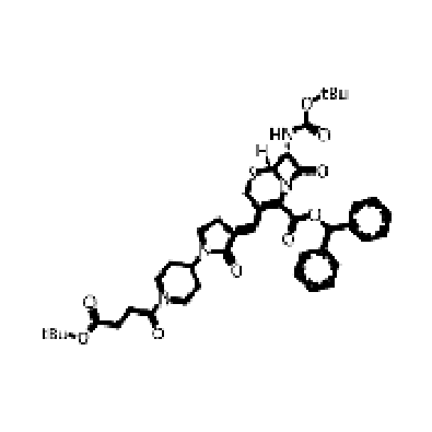 CC(C)(C)OC(=O)CCC(=O)N1CCC(N2CC/C(=C\C3=C(C(=O)OC(c4ccccc4)c4ccccc4)N4C(=O)[C@@H](NC(=O)OC(C)(C)C)[C@H]4SC3)C2=O)CC1